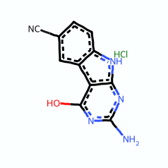 Cl.N#Cc1ccc2[nH]c3nc(N)nc(O)c3c2c1